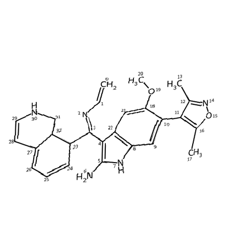 C=C/N=C(\c1c(N)[nH]c2cc(-c3c(C)noc3C)c(OC)cc12)C1C=CC=C2C=CNCC21